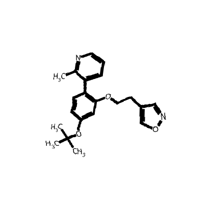 Cc1ncccc1-c1ccc(OC(C)(C)C)cc1OCCc1cnoc1